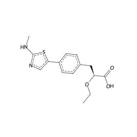 CCO[C@@H](Cc1ccc(-c2cnc(NC)s2)cc1)C(=O)O